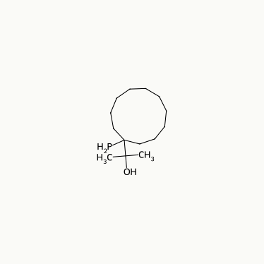 CC(C)(O)C1(P)CCCCCCCCCC1